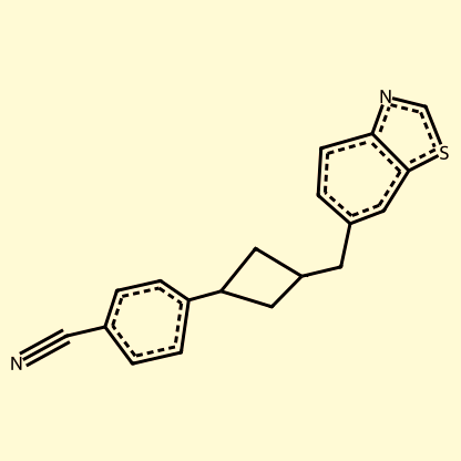 N#Cc1ccc(C2C[C](Cc3ccc4ncsc4c3)C2)cc1